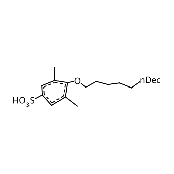 CCCCCCCCCCCCCCCOc1c(C)cc(S(=O)(=O)O)cc1C